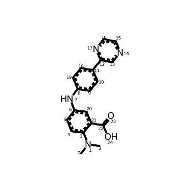 CN(C)c1ccc(Nc2ccc(-c3cnccn3)cc2)cc1C(=O)O